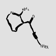 CCCCCCC#CC(=O)c1cccnc1N